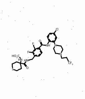 O=C(O)NC1(C(=O)NCc2ccc(C(=O)Nc3ccc(Cl)cc3N3CCN(CCC(F)(F)F)CC3)c(F)c2F)CCSCC1